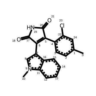 Cc1ccc(C2=C(c3cn(C)c4ccccc34)C(=O)NC2=O)c(Cl)c1